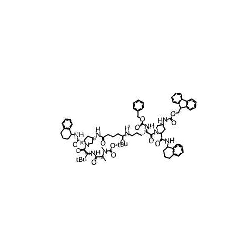 C[C@@H](C(=O)N[C@H](C(=O)N1C[C@@H](NC(=O)CCCC(=O)NCCC[C@H](NC(=O)OCc2ccccc2)C(=O)N2C[C@@H](NC(=O)OCC3c4ccccc4-c4ccccc43)CC2C(=O)NC2CCCc3ccccc32)C[C@H]1C(=O)NC1CCCc2ccccc21)C(C)(C)C)N(C)C(=O)OC(C)(C)C